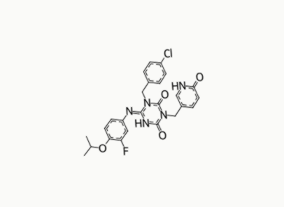 CC(C)Oc1ccc(/N=c2\[nH]c(=O)n(Cc3ccc(=O)[nH]c3)c(=O)n2Cc2ccc(Cl)cc2)cc1F